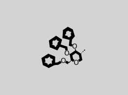 C[C@@H]1CO[C@H](COCc2ccccc2)[C@H](OCc2ccccc2)[C@@H]1OCc1ccccc1